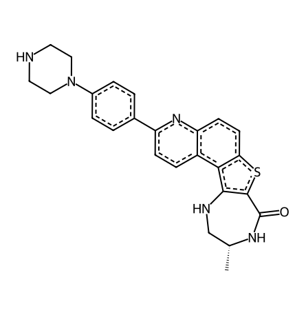 C[C@@H]1CNc2c(sc3ccc4nc(-c5ccc(N6CCNCC6)cc5)ccc4c23)C(=O)N1